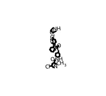 Cc1ncc(Cl)cc1C(=O)NC1CCC(Cn2c(=O)n(-c3ccc(OC[C@H]4CNCCO4)nc3)c3ccccc32)CC1